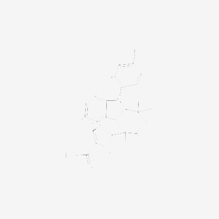 CC1(C)OCC(C)(c2ccc(C(=O)O)s2)c2c1n(-c1ccc(F)cc1)c1cccc(O)c21